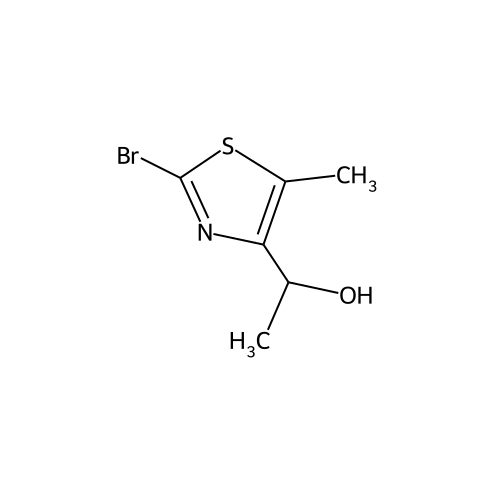 Cc1sc(Br)nc1C(C)O